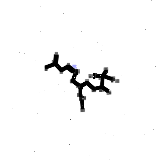 C=C(C)C/C=N\CN(CCC)CCC(C)C(C)(F)F